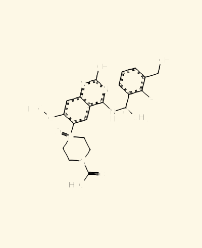 CCc1cccc([C@@H](C)Nc2nc(C)nc3cc(OC)c(P4(=O)CCN(C(C)=O)CC4)cc23)c1F